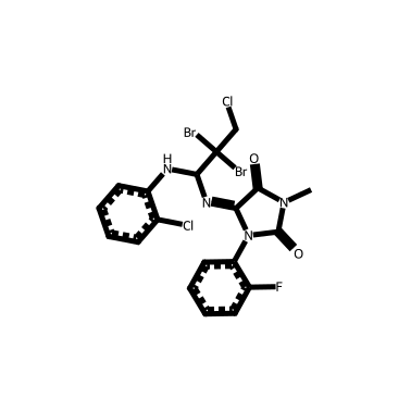 CN1C(=O)C(=NC(Nc2ccccc2Cl)C(Br)(Br)CCl)N(c2ccccc2F)C1=O